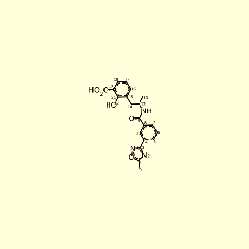 Cc1nc(-c2cccc(C(=O)NC(C)Cc3cccc(C(=O)O)c3O)c2)no1